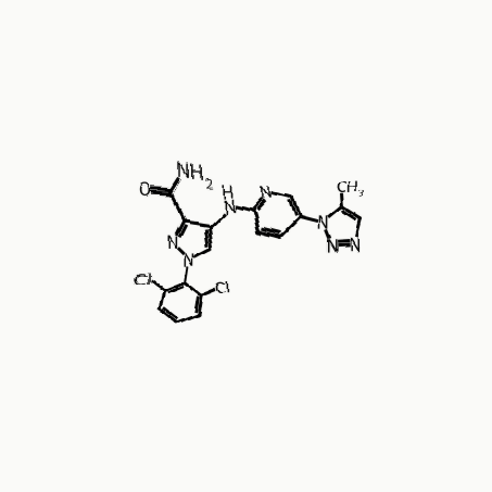 Cc1cnnn1-c1ccc(Nc2cn(-c3c(Cl)cccc3Cl)nc2C(N)=O)nc1